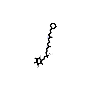 CC1=C(C)C(=O)C(CCC(C)(O)CC/C=C(\C)CC/C=C(\C)CCC=C2CCCCC2)=C(C)C1=O